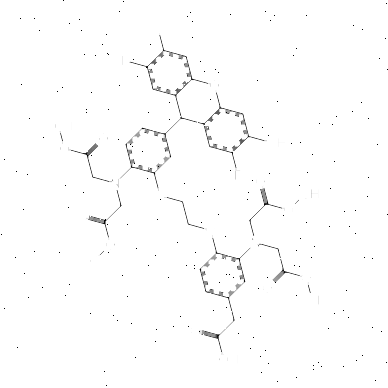 COC(=O)CN(CC(=O)OC)c1ccc(C2c3cc(F)c(O)cc3Oc3cc(O)c(F)cc32)cc1OCCOc1ccc(CC(=O)O)cc1N(CC(=O)OC)CC(=O)OC